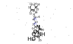 CC(/C=C/C=C(\C)CCC1=C(C)CCCC1(C)C)=N[C@@H](C)C(=O)N[C@@H](C)C(=O)O